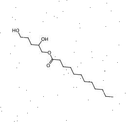 CCCCCCCCCCCC(=O)OCC(O)CCCO